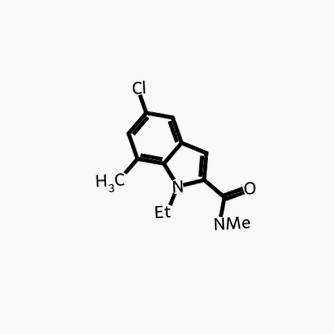 CCn1c(C(=O)NC)cc2cc(Cl)cc(C)c21